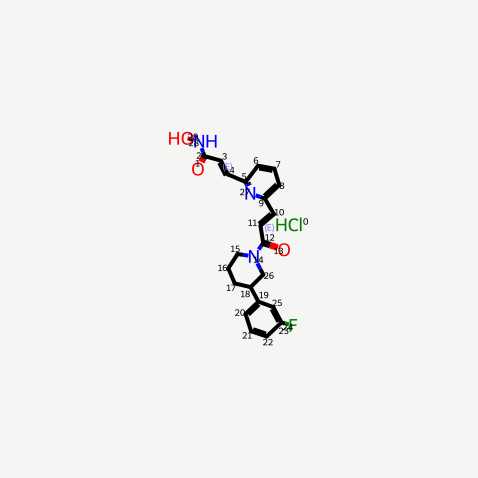 Cl.O=C(/C=C/c1cccc(/C=C/C(=O)N2CCCC(c3cccc(F)c3)C2)n1)NO